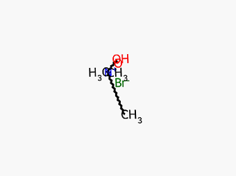 CCCCCCCCCCCCCCCCCCCC[N+](C)(C)CCCCCC(=O)O.[Br-]